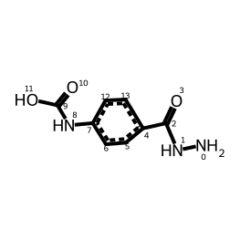 NNC(=O)c1ccc(NC(=O)O)cc1